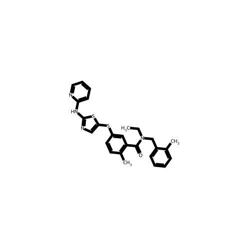 CCN(Cc1ccccc1C)C(=O)c1cc(Sc2cnc(Nc3ccccn3)s2)ccc1C